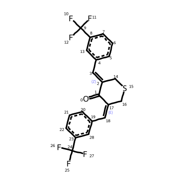 O=C1/C(=C/c2cccc(C(F)(F)F)c2)CSC/C1=C/c1cccc(C(F)(F)F)c1